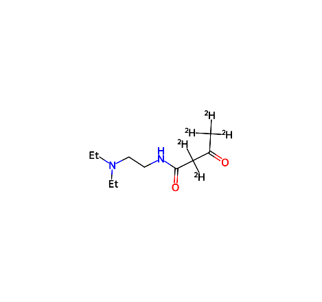 [2H]C([2H])([2H])C(=O)C([2H])([2H])C(=O)NCCN(CC)CC